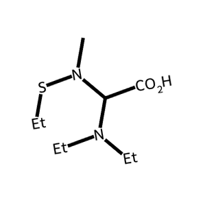 CCSN(C)C(C(=O)O)N(CC)CC